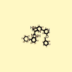 c1ccc(COc2cncc(-c3ccc4[nH]nc(-c5nc6c(N7CCCCC7)cccc6[nH]5)c4n3)c2)cc1